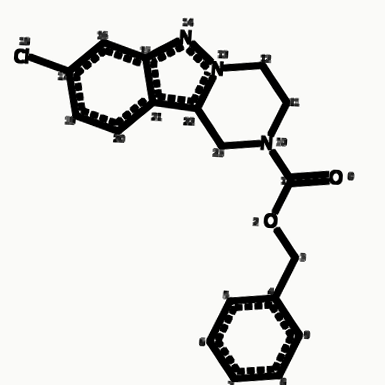 O=C(OCc1ccccc1)N1CCn2nc3cc(Cl)ccc3c2C1